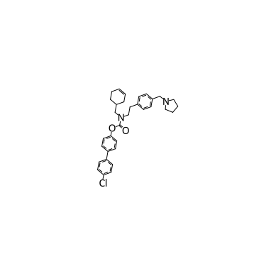 O=C(Oc1ccc(-c2ccc(Cl)cc2)cc1)N(CCc1ccc(CN2CCCC2)cc1)CC1CC=CCC1